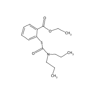 CCCN(CCC)C(=O)Sc1ccccc1C(=O)OCC